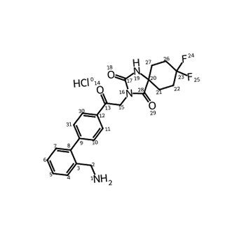 Cl.NCc1ccccc1-c1ccc(C(=O)CN2C(=O)NC3(CCC(F)(F)CC3)C2=O)cc1